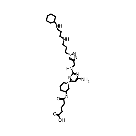 Nc1cc(N2CCCC(NC(=O)CCCC(=O)O)C2)nc(NCc2cn(CCCNCCCNC3CCCCC3)nn2)n1